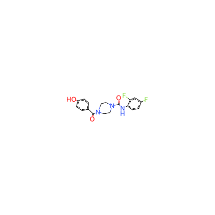 O=C(Nc1ccc(F)cc1F)N1CCN(C(=O)c2ccc(O)cc2)CC1